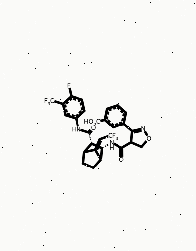 O=C(O)c1cccc(C2=NOCC2C(=O)N[C@@H]2C3CCC(/C3=C/C(F)(F)F)[C@@H]2C(=O)Nc2ccc(F)c(C(F)(F)F)c2)c1